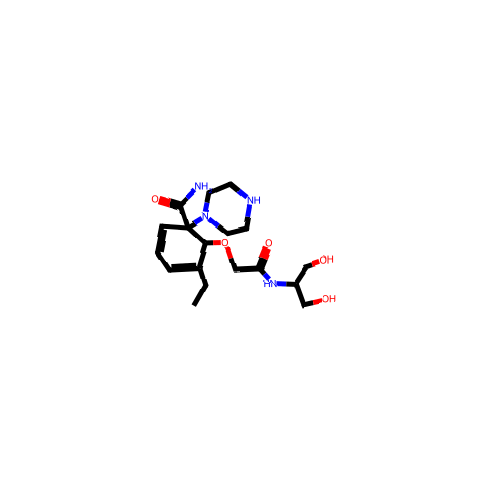 CCC1=CC=CC(C(N)=O)(N2CCNCC2)C1OCC(=O)NC(CO)CO